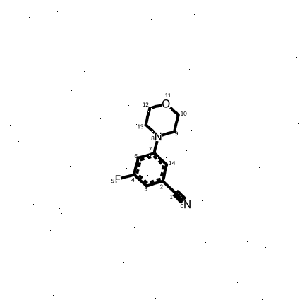 N#Cc1cc(F)cc(N2CCOCC2)c1